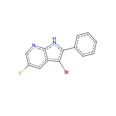 Fc1cnc2[nH]c(-c3ccccc3)c(Br)c2c1